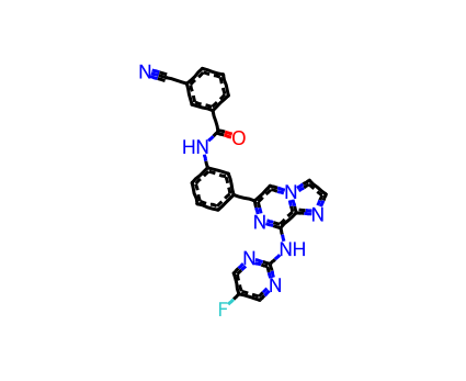 N#Cc1cccc(C(=O)Nc2cccc(-c3cn4ccnc4c(Nc4ncc(F)cn4)n3)c2)c1